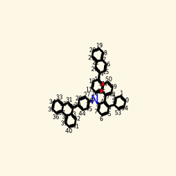 c1ccc(-c2cccc(N(c3ccc(-c4ccc5ccccc5c4)cc3)c3ccc(-c4cc5ccccc5c5ccccc45)cc3)c2-c2ccccc2)cc1